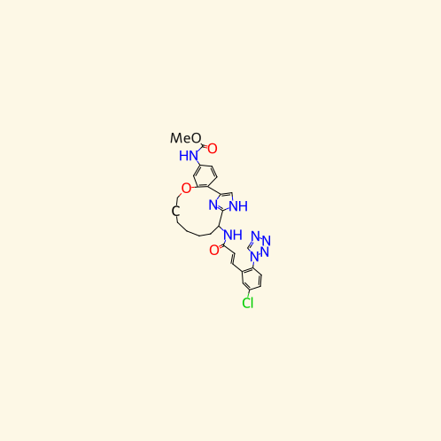 COC(=O)Nc1ccc2c(c1)OCCCCCCC(NC(=O)C=Cc1cc(Cl)ccc1-n1cnnn1)c1nc-2c[nH]1